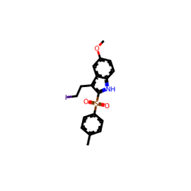 COc1ccc2[nH]c(S(=O)(=O)c3ccc(C)cc3)c(CCI)c2c1